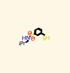 CC(C)CNS(=O)(=O)c1cccc(CS)c1